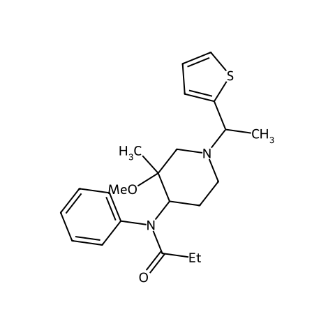 CCC(=O)N(c1ccccc1)C1CCN(C(C)c2cccs2)CC1(C)OC